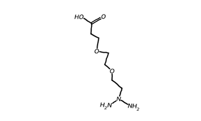 NN(N)CCOCCOCCC(=O)O